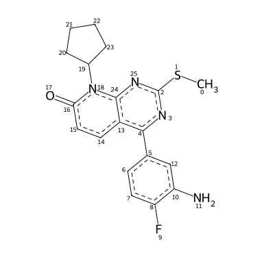 CSc1nc(-c2ccc(F)c(N)c2)c2ccc(=O)n(C3CCCC3)c2n1